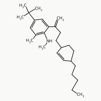 C=C(CCC1C=CC(CCCCC)CC1)c1cc(C(C)(C)C)cc(C)c1NC